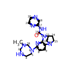 CN1CNCCN(c2ccc3c(n2)N(C(=O)Nc2cnccn2)C2CCN3C2)C1